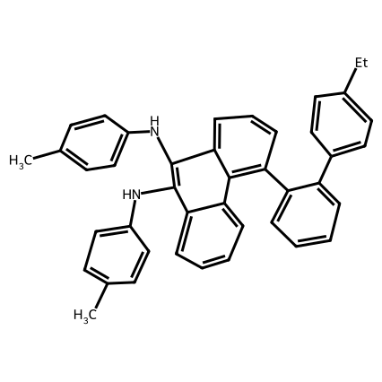 CCc1ccc(-c2ccccc2-c2cccc3c(Nc4ccc(C)cc4)c(Nc4ccc(C)cc4)c4ccccc4c23)cc1